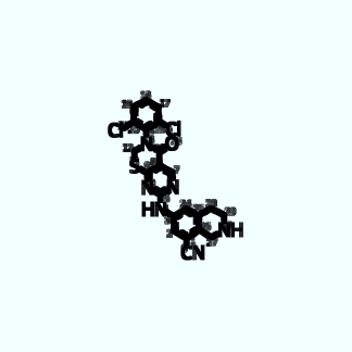 N#Cc1cc(Nc2ncc3c(n2)SCN(c2c(Cl)cccc2Cl)C3=O)cc2c1CNCC2